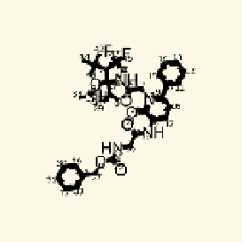 CC(C)C(NC(=O)Cn1c(-c2ccccc2)ccc(NC(=O)CNC(=O)OCc2ccccc2)c1=O)(O[SiH](C)C)C(C(C)(C)C)C(F)(F)F